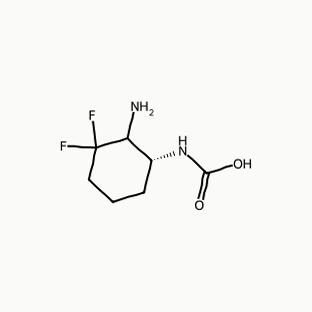 NC1[C@H](NC(=O)O)CCCC1(F)F